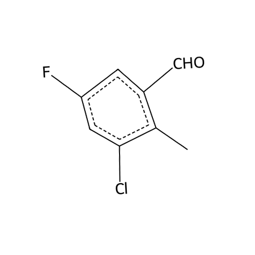 Cc1c(Cl)cc(F)cc1C=O